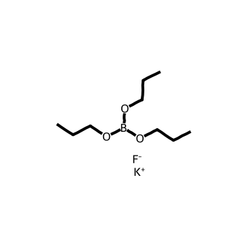 CCCOB(OCCC)OCCC.[F-].[K+]